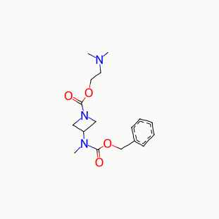 CN(C)CCOC(=O)N1CC(N(C)C(=O)OCc2ccccc2)C1